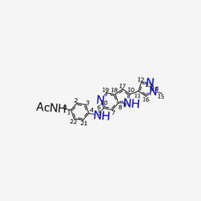 CC(=O)Nc1ccc(Nc2cc3[nH]c(-c4cnn(C)c4)cc3cn2)cc1